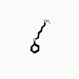 CCC/C=C/COc1ccccc1